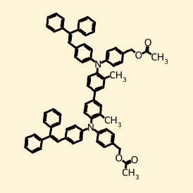 CC(=O)OCc1ccc(N(c2ccc(C=C(c3ccccc3)c3ccccc3)cc2)c2ccc(-c3ccc(N(c4ccc(C=C(c5ccccc5)c5ccccc5)cc4)c4ccc(COC(C)=O)cc4)c(C)c3)cc2C)cc1